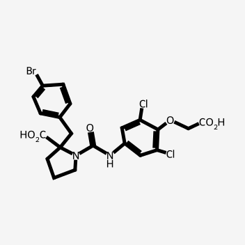 O=C(O)COc1c(Cl)cc(NC(=O)N2CCCC2(Cc2ccc(Br)cc2)C(=O)O)cc1Cl